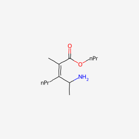 CCCOC(=O)C(C)=C(CCC)C(C)N